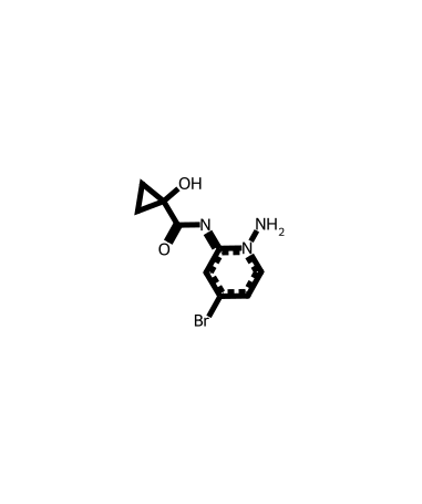 Nn1ccc(Br)c/c1=N\C(=O)C1(O)CC1